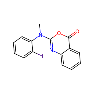 CN(c1nc2ccccc2c(=O)o1)c1ccccc1I